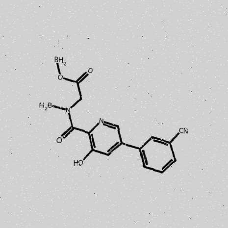 BOC(=O)CN(B)C(=O)c1ncc(-c2cccc(C#N)c2)cc1O